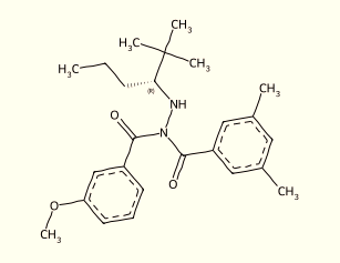 CCC[C@@H](NN(C(=O)c1cc(C)cc(C)c1)C(=O)c1cccc(OC)c1)C(C)(C)C